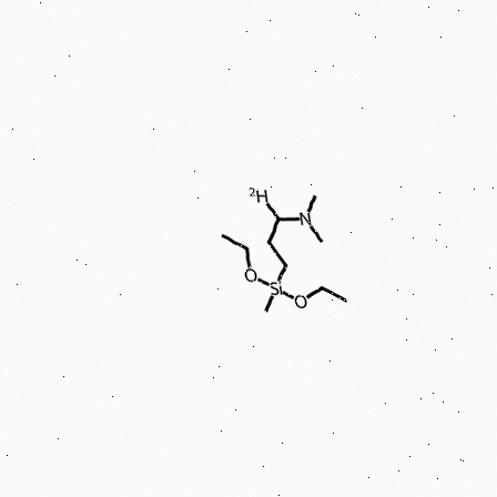 [2H]C(CC[Si](C)(OCC)OCC)N(C)C